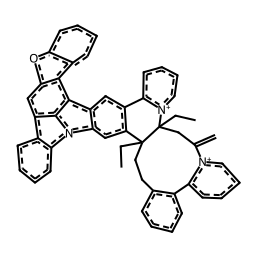 C=C1CC2(CC)[n+]3ccccc3-c3cc4c5c6c(cc7c8ccccc8n(c4cc3C2(CC)CCc2ccccc2-c2cccc[n+]21)c75)oc1ccccc16